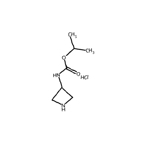 CC(C)OC(=O)NC1CNC1.Cl